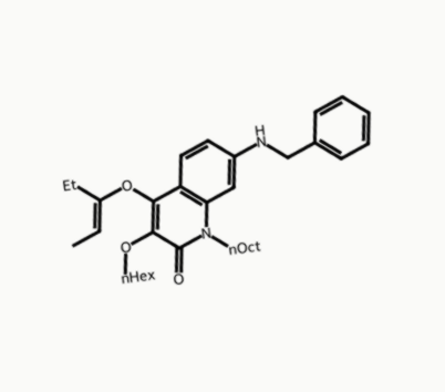 CC=C(CC)Oc1c(OCCCCCC)c(=O)n(CCCCCCCC)c2cc(NCc3ccccc3)ccc12